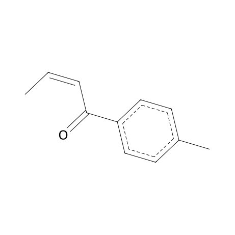 C/C=C\C(=O)c1ccc(C)cc1